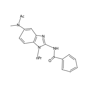 CCCn1c(NC(=O)c2c[c]ccc2)nc2cc(N(C)C(C)=O)ccc21